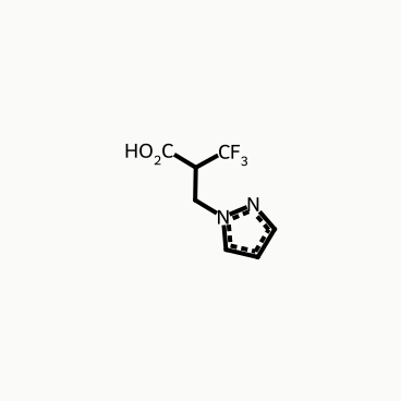 O=C(O)C(Cn1cccn1)C(F)(F)F